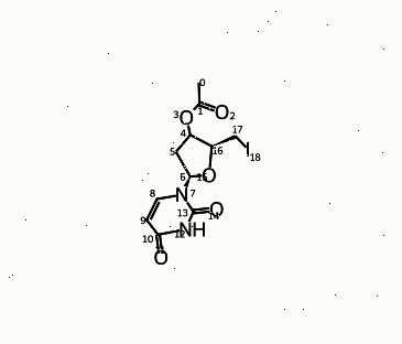 CC(=O)OC1C[C@H](n2ccc(=O)[nH]c2=O)O[C@@H]1CI